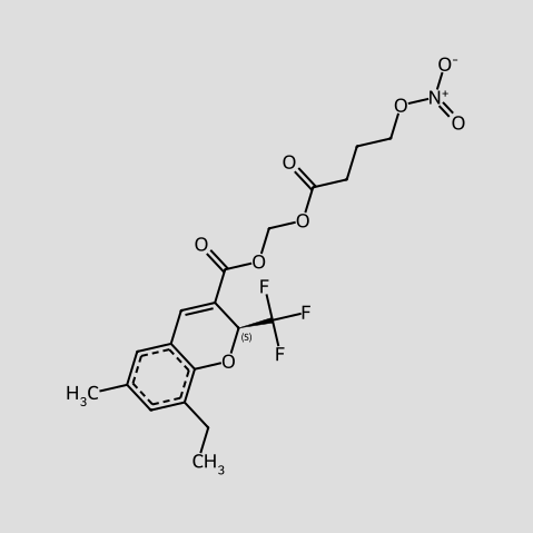 CCc1cc(C)cc2c1O[C@H](C(F)(F)F)C(C(=O)OCOC(=O)CCCO[N+](=O)[O-])=C2